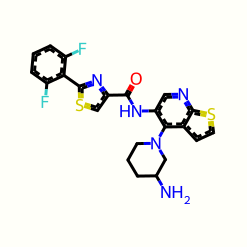 NC1CCCN(c2c(NC(=O)c3csc(-c4c(F)cccc4F)n3)cnc3sccc23)C1